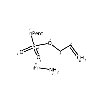 C=CCOS(=O)(=O)CCCCC.CC(C)N